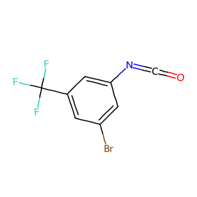 O=C=Nc1cc(Br)cc(C(F)(F)F)c1